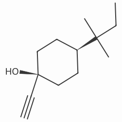 C#C[C@]1(O)CC[C@@H](C(C)(C)CC)CC1